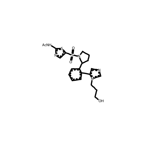 CC(=O)Nc1ncc(S(=O)(=O)N2CCCC2c2ccccc2-c2cncn2CCCO)s1